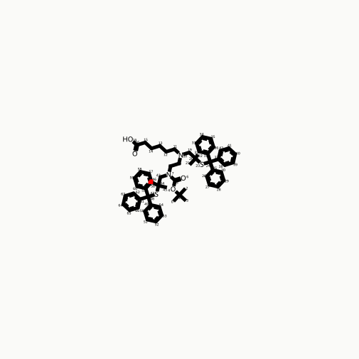 CC(C)(C)OC(=O)N(CCN(CCCCCC(=O)O)CC(C)(C)SC(c1ccccc1)(c1ccccc1)c1ccccc1)CC(C)(C)SC(c1ccccc1)(c1ccccc1)c1ccccc1